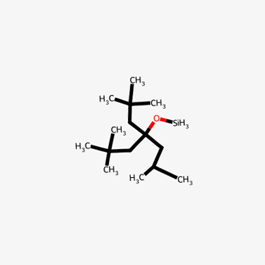 CC(C)CC(CC(C)(C)C)(CC(C)(C)C)O[SiH3]